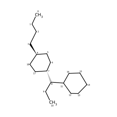 CCCC[C@H]1CC[C@H](C(CC)C2CCCCC2)CC1